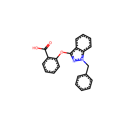 O=C(O)c1ccccc1Oc1nn(Cc2ccccc2)c2ccccc12